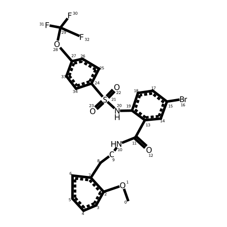 COc1ccccc1CCNC(=O)c1cc(Br)ccc1NS(=O)(=O)c1ccc(OC(F)(F)F)cc1